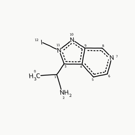 CC(N)c1c2ccncc2nn1I